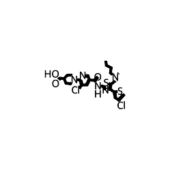 CCCCN(C)Cc1sc(NC(=O)c2cnc(N3CCC(C(=O)O)CC3)c(Cl)c2)nc1-c1cc(Cl)cs1